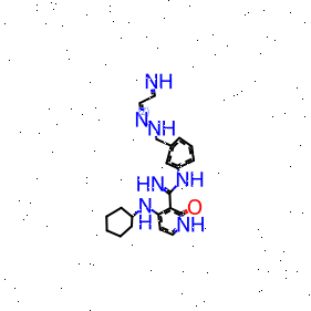 N=C/C=N\NCc1cccc(NC(=N)c2c(NC3CCCCC3)cc[nH]c2=O)c1